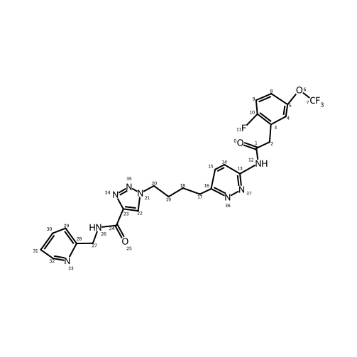 O=C(Cc1cc(OC(F)(F)F)ccc1F)Nc1ccc(CCCCn2cc(C(=O)NCc3ccccn3)nn2)nn1